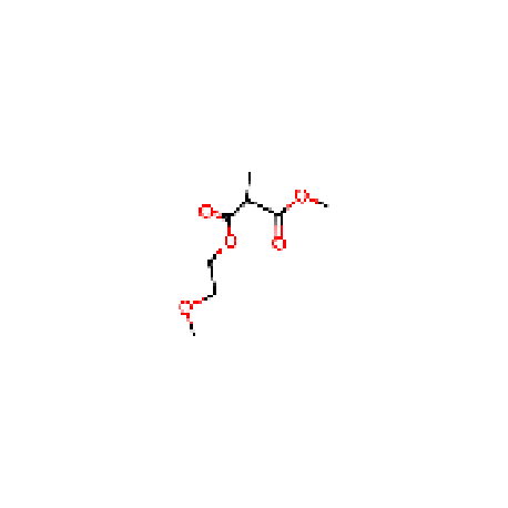 COCCOC(=O)C(C)C(=O)OC